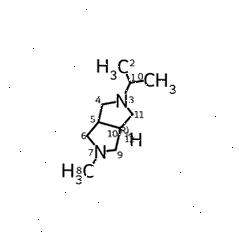 CC(C)N1CC2CN(C)C[C@@H]2C1